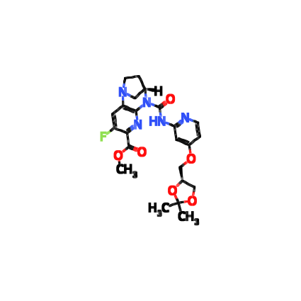 COC(=O)c1nc2c(cc1F)N1CC[C@@H](C1)N2C(=O)Nc1cc(OC[C@H]2COC(C)(C)O2)ccn1